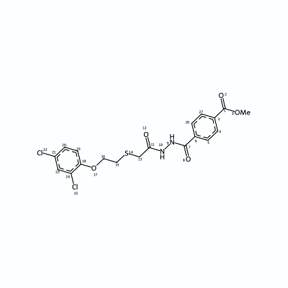 COC(=O)c1ccc(C(=O)NNC(=O)CSCCOc2ccc(Cl)cc2Cl)cc1